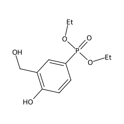 CCOP(=O)(OCC)c1ccc(O)c(CO)c1